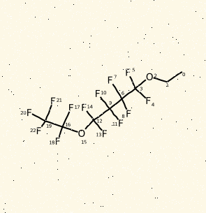 CCOC(F)(F)C(F)(F)C(F)(F)C(F)(F)OC(F)(F)C(F)(F)F